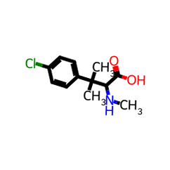 CNC(C(=O)O)C(C)(C)c1ccc(Cl)cc1